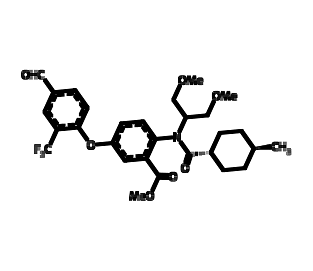 COCC(COC)N(c1ccc(Oc2ccc(C=O)cc2C(F)(F)F)cc1C(=O)OC)C(=O)[C@H]1CC[C@H](C)CC1